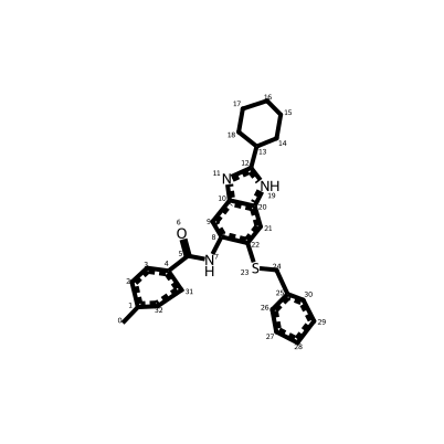 Cc1ccc(C(=O)Nc2cc3nc(C4CCCCC4)[nH]c3cc2SCc2ccccc2)cc1